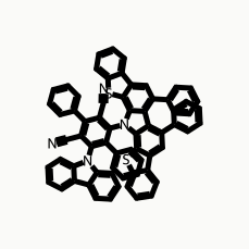 N#Cc1c(-c2ccccc2)c(C#N)c(-n2c3c4sc5ccccc5c4cc(-c4ccccc4)c3c3c(-c4ccccc4)cc4c5ccccc5sc4c32)c(-c2ccccc2)c1-n1c2ccccc2c2ccccc21